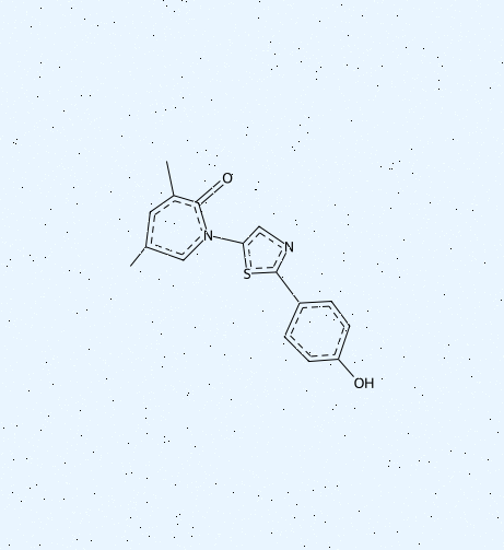 Cc1cc(C)c(=O)n(-c2cnc(-c3ccc(O)cc3)s2)c1